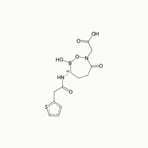 O=C(O)CN1OB(O)[C@@H](NC(=O)Cc2cccs2)CCC1=O